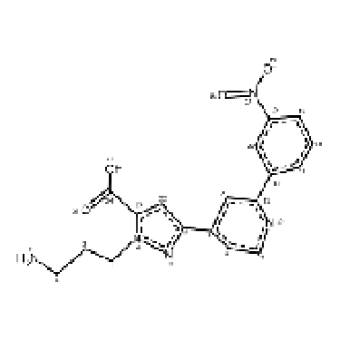 NCCCn1nc(-c2ccnc(-c3cccc([N+](=O)[O-])c3)c2)cc1C(=O)O